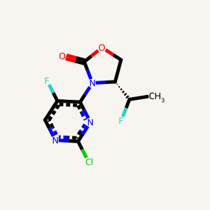 CC(F)[C@H]1COC(=O)N1c1nc(Cl)ncc1F